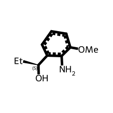 CC[C@H](O)c1cccc(OC)c1N